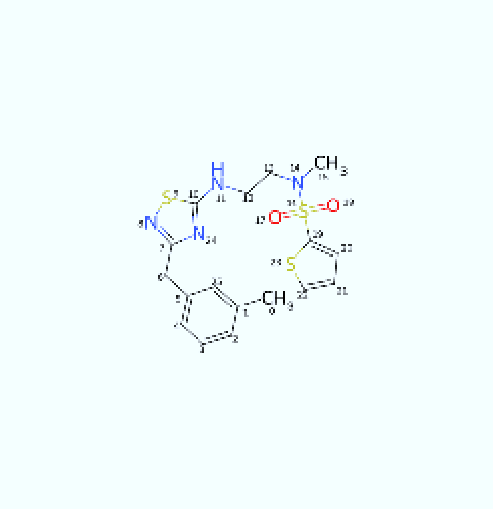 Cc1cccc(Cc2nsc(NCCN(C)S(=O)(=O)c3cccs3)n2)c1